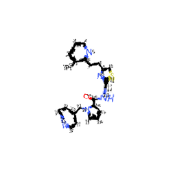 CC(C)c1cccnc1C=Cc1csc(NC(=O)c2cccn2Cc2ccncc2)n1